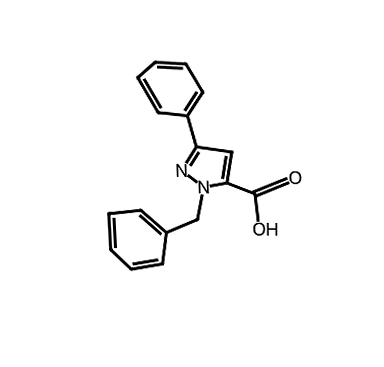 O=C(O)c1cc(-c2ccccc2)nn1Cc1ccccc1